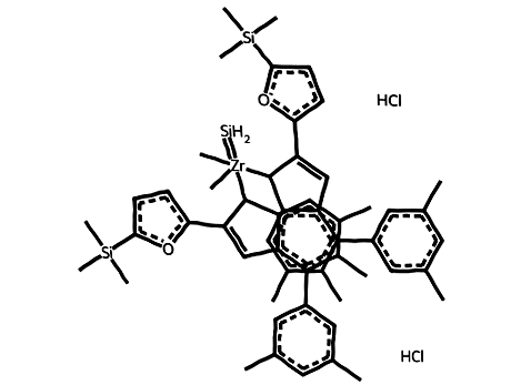 Cc1cc(C)cc(-c2c(C)c(C)cc3c2C=C(c2ccc([Si](C)(C)C)o2)[CH]3[Zr]([CH3])([CH3])(=[SiH2])[CH]2C(c3ccc([Si](C)(C)C)o3)=Cc3c2cc(C)c(C)c3-c2cc(C)cc(C)c2)c1.Cl.Cl